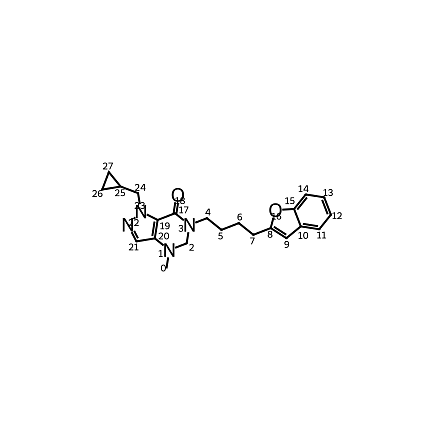 CN1CN(CCCCc2cc3ccccc3o2)C(=O)c2c1cnn2CC1CC1